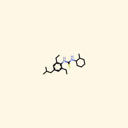 CCc1cc(CC(C)C)cc(CC)c1NC(=S)NC1CCCCC1C